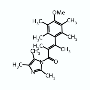 COc1c(C)c(C)c(/C(C)=C(\C)C(=O)n2c(C)nc(C)c2C)c(C)c1C